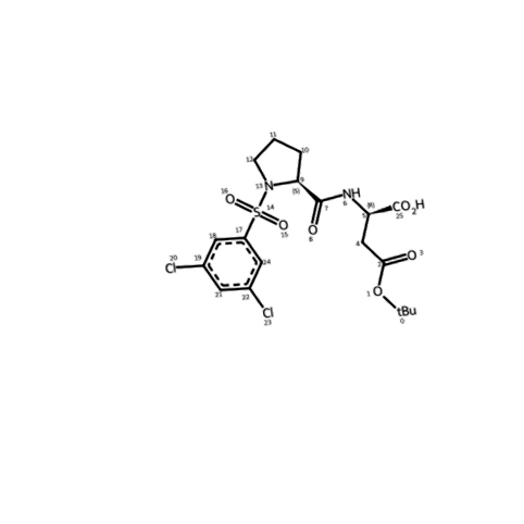 CC(C)(C)OC(=O)C[C@@H](NC(=O)[C@@H]1CCCN1S(=O)(=O)c1cc(Cl)cc(Cl)c1)C(=O)O